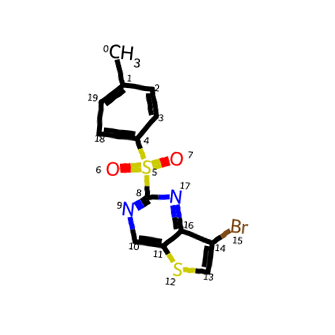 Cc1ccc(S(=O)(=O)c2ncc3scc(Br)c3n2)cc1